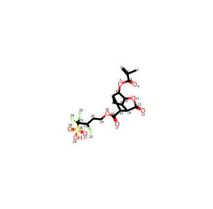 C=C(C)C(=O)OC1C2CC3C1OC(=O)C3C2C(=O)OCCC(F)C(F)(F)S(=O)(=O)O